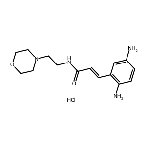 Cl.Nc1ccc(N)c(/C=C/C(=O)NCCN2CCOCC2)c1